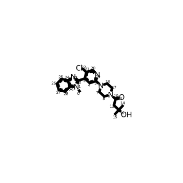 Cn1c(-c2cc(N3CCN(C(=O)CC(C)(C)O)CC3)ncc2Cl)nc2ccccc21